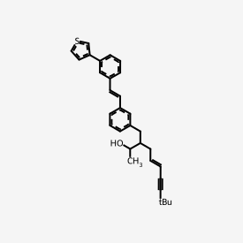 CC(O)C(C/C=C/C#CC(C)(C)C)Cc1cccc(/C=C/c2cccc(-c3ccsc3)c2)c1